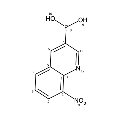 O=[N+]([O-])c1cccc2cc(P(O)O)cnc12